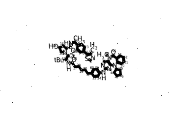 Cc1ncsc1-c1ccc([C@H](C)NC(=O)[C@@H]2C[C@@H](O)CN2C(=O)[C@@H](NC(=O)CCCCCc2ccc(Nc3ncc4c(n3)N(C3CCCC3)c3ccccc3C(=O)N4C)cc2)C(C)(C)C)cc1